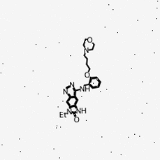 CCn1c(=O)[nH]c2cc3c(NCc4ccccc4OCCCCN4CCOCC4)ncnc3cc21